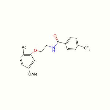 COc1ccc(C(C)=O)c(OCCNC(=O)c2ccc(C(F)(F)F)cc2)c1